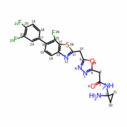 NC1(NC(=O)Cc2nnc(Cc3nc4ccc(-c5ccc(F)c(F)c5)c(F)c4s3)o2)CC1